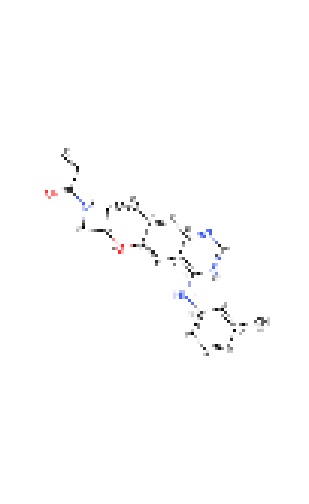 C=CC(=O)N1CC(Oc2cc3c(Nc4cccc(C#N)c4)ncnc3cc2OC)C1